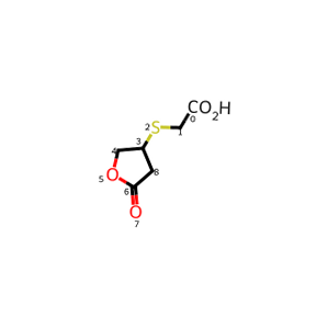 O=C(O)CSC1COC(=O)C1